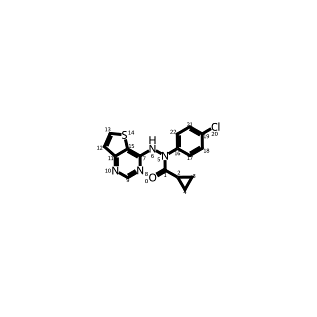 O=C(C1CC1)N(Nc1ncnc2ccsc12)c1ccc(Cl)cc1